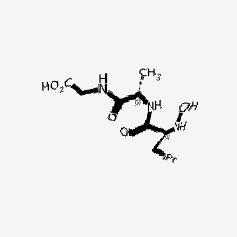 CC(C)C[C@H](NO)C(=O)N[C@@H](C)C(=O)NCC(=O)O